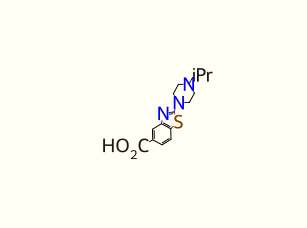 CC(C)N1CCN(c2nc3cc(C(=O)O)ccc3s2)CC1